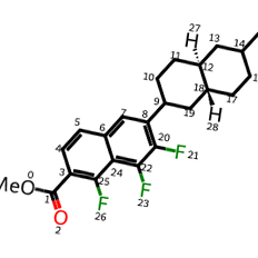 COC(=O)c1ccc2cc(C3CC[C@H]4CC(C)CC[C@@H]4C3)c(F)c(F)c2c1F